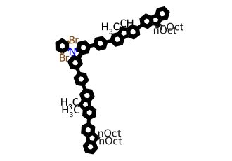 CCCCCCCCC1(CCCCCCCC)c2ccccc2-c2ccc(-c3ccc4c(c3)C(C)(C)c3cc(-c5ccc(-c6ccc7c(c6)c6cc(-c8ccc(-c9ccc%10c(c9)C(C)(C)c9cc(-c%11ccc%12c(c%11)C(CCCCCCCC)(CCCCCCCC)c%11ccccc%11-%12)ccc9-%10)cc8)ccc6n7-c6c(Br)cccc6Br)cc5)ccc3-4)cc21